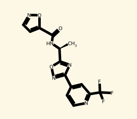 C[C@H](NC(=O)c1ccno1)c1nc(-c2ccnc(C(F)(F)F)c2)no1